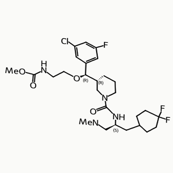 CNC[C@H](CC1CCC(F)(F)CC1)NC(=O)N1CCC[C@@H]([C@@H](OCCNC(=O)OC)c2cc(F)cc(Cl)c2)C1